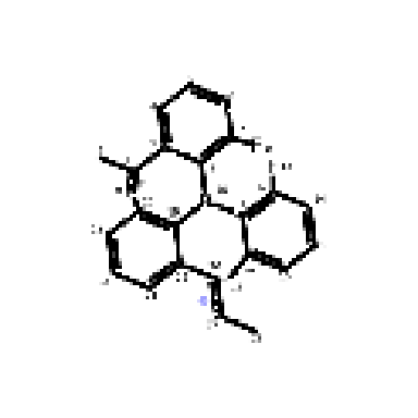 C=C(C)c1cccc(F)c1B(c1c(F)cccc1F)c1c(F)cccc1/C=C/C